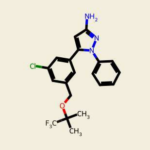 CC(C)(OCc1cc(Cl)cc(-c2cc(N)nn2-c2ccccc2)c1)C(F)(F)F